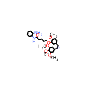 COc1ccc(/C=C\c2cc(OC)c(OC)c(OC)c2)cc1OCCCCC(=O)Nc1ccccc1N